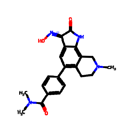 CN1CCc2c(-c3ccc(C(=O)N(C)C)cc3)cc3c(c2C1)NC(=O)/C3=N/O